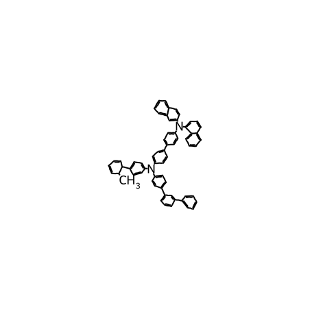 CC1C=CC=CC1c1ccc(N(c2ccc(-c3ccc(N(c4ccc5ccccc5c4)c4cccc5ccccc45)cc3)cc2)c2ccc(-c3cccc(-c4ccccc4)c3)cc2)cc1